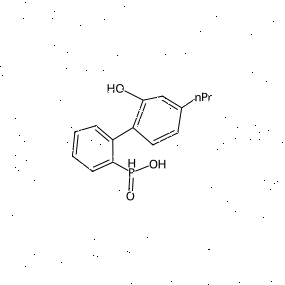 CCCc1ccc(-c2ccccc2[PH](=O)O)c(O)c1